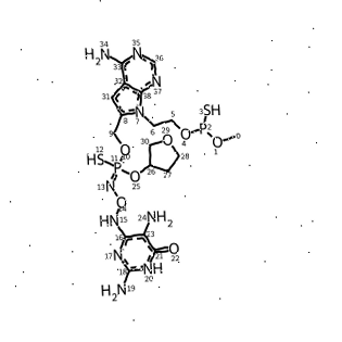 COP(S)OCCn1c(COP(S)(=NONc2nc(N)[nH]c(=O)c2N)OC2CCOC2)cc2c(N)ncnc21